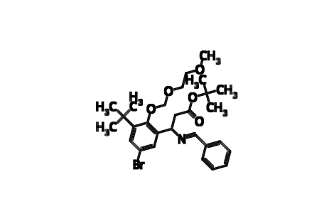 COCCOCOc1c(C(CC(=O)OC(C)(C)C)N=Cc2ccccc2)cc(Br)cc1C(C)(C)C